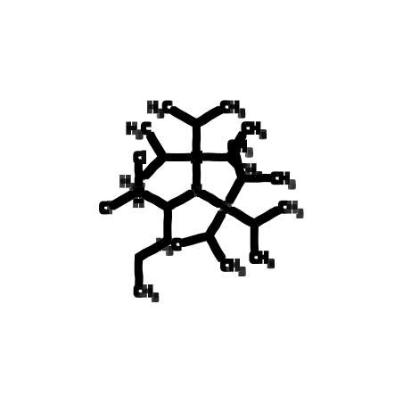 CCCC(N([Si](C(C)C)(C(C)C)C(C)C)[Si](C(C)C)(C(C)C)C(C)C)[SiH](Cl)Cl